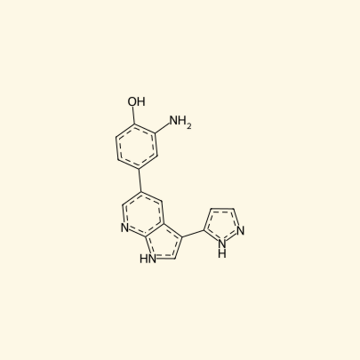 Nc1cc(-c2cnc3[nH]cc(-c4ccn[nH]4)c3c2)ccc1O